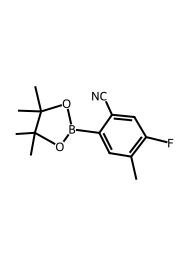 Cc1cc(B2OC(C)(C)C(C)(C)O2)c(C#N)cc1F